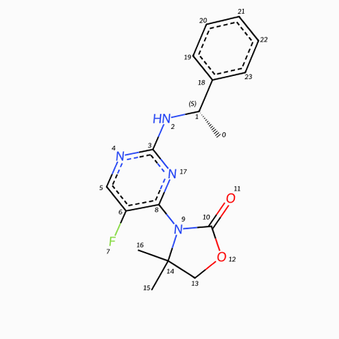 C[C@H](Nc1ncc(F)c(N2C(=O)OCC2(C)C)n1)c1ccccc1